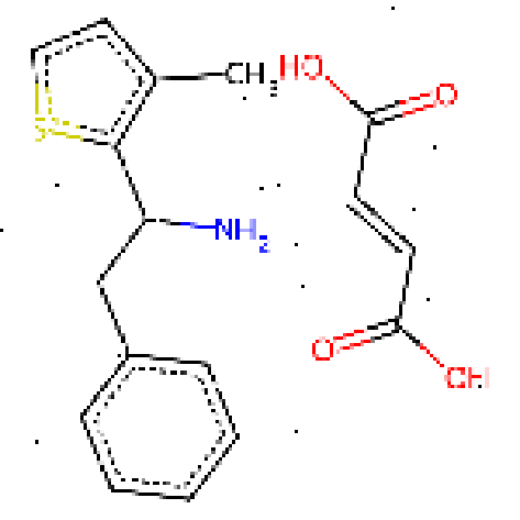 Cc1ccsc1C(N)Cc1ccccc1.O=C(O)C=CC(=O)O